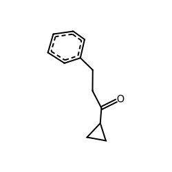 O=C(CCc1ccccc1)C1CC1